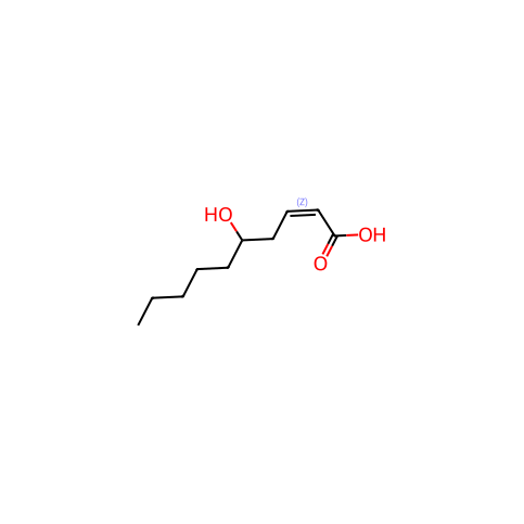 CCCCCC(O)C/C=C\C(=O)O